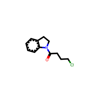 O=C(CCCCl)N1CCc2ccccc21